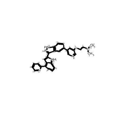 CN(C)CCOc1cncc(-c2ccc3[nH]nc(-c4cc5c(-c6ccccn6)cccc5[nH]4)c3c2)c1